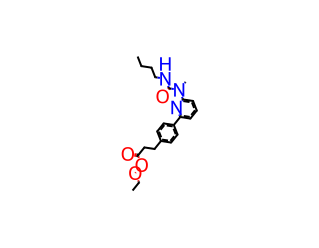 CCCCNC(=O)N(C)c1cccc(-c2ccc(CCC(=O)OOCC)cc2)n1